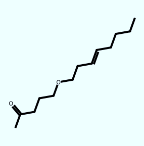 CCCCC=CCCOCCCC(C)=O